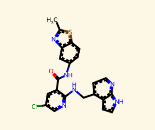 Cc1nc2cc(NC(=O)c3cc(Cl)cnc3NCc3ccnc4[nH]ccc34)ccc2s1